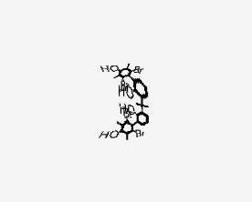 Cc1c(O)c(C)c(Br)c(-c2cccc(C(C)(C)c3cccc(-c4c(Br)c(C)c(O)c(C)c4Br)c3O)c2O)c1Br